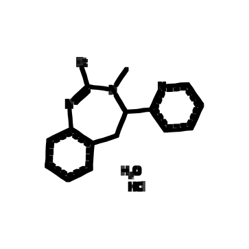 CCC1=Nc2ccccc2CC(c2ccccn2)N1C.Cl.O